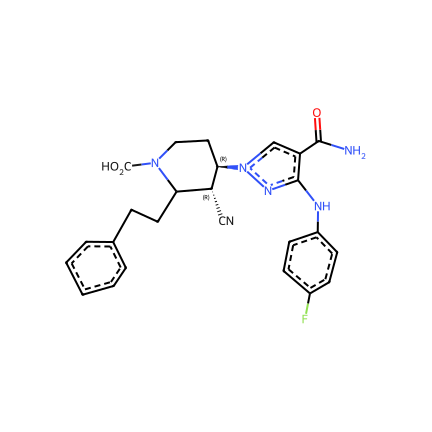 N#C[C@@H]1C(CCc2ccccc2)N(C(=O)O)CC[C@H]1n1cc(C(N)=O)c(Nc2ccc(F)cc2)n1